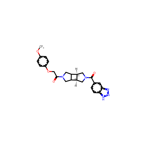 O=C(COc1ccc(OC(F)(F)F)cc1)N1CC2C(C1)[C@@H]1CN(C(=O)c3ccc4[nH]nnc4c3)C[C@H]21